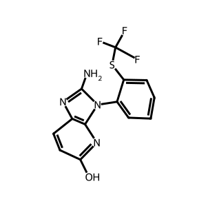 Nc1nc2ccc(O)nc2n1-c1ccccc1SC(F)(F)F